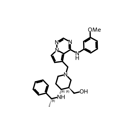 COc1cccc(Nc2ncnn3ccc(CN4CC[C@@H](N[C@H](C)c5ccccc5)[C@H](CO)C4)c23)c1